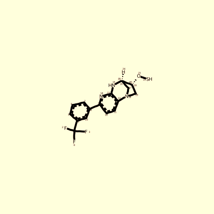 FC(F)(F)c1cccc(-c2ccc3c(n2)N[C@@H]2CN3C[C@H]2OS)c1